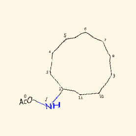 CC(=O)ONC1CCCCCCCCC1